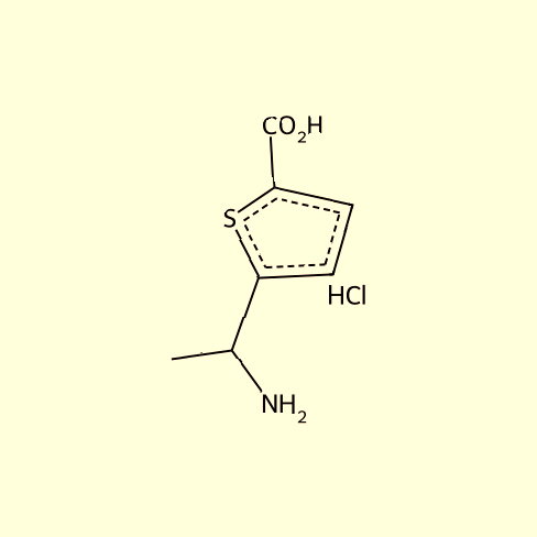 CC(N)c1ccc(C(=O)O)s1.Cl